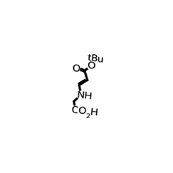 CC(C)(C)OC(=O)C=CNCC(=O)O